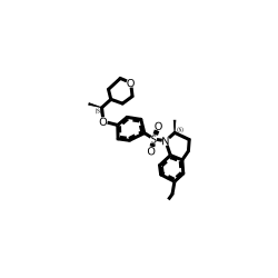 CCc1ccc2c(c1)CC[C@H](C)N2S(=O)(=O)c1ccc(O[C@@H](C)C2CCOCC2)cc1